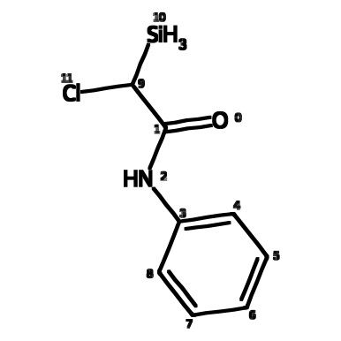 O=C(Nc1ccccc1)C([SiH3])Cl